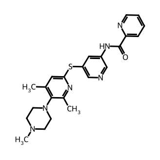 Cc1cc(Sc2cncc(NC(=O)c3ccccn3)c2)nc(C)c1N1CCN(C)CC1